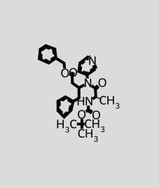 C[C@H](NC(=O)OC(C)(C)C)C(=O)N(c1cccnc1)C(CC(=O)OCc1ccccc1)Cc1ccccc1